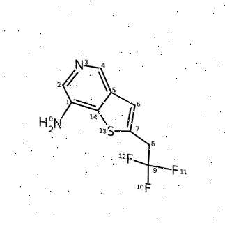 Nc1cncc2cc(CC(F)(F)F)sc12